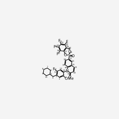 COc1cc(CC2CCCCC2)c(F)cc1-n1c(=O)ccc2cc(S(=O)(=O)Oc3c(F)c(F)c(F)c(F)c3F)ccc21